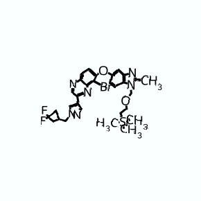 Cc1nc2cc(Oc3ccc4ncc(-c5cnn(CC6CC(F)(F)C6)c5)nc4c3Br)ccc2n1COCC[Si](C)(C)C